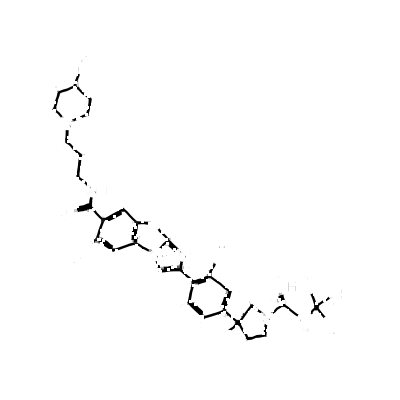 COc1cc2c(cc1C(=O)NCCCN1CCC(F)CC1)sc1nc(-c3ccc(C4(O)CCN(C(=O)OC(C)(C)C)C4)cc3F)cn12